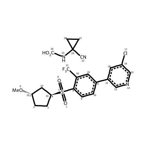 CO[C@H]1CC[C@H](S(=O)(=O)c2ccc(-c3cncc(Cl)c3)cc2C(F)(F)F)C1.N#CC1(NC(=O)O)CC1